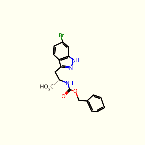 O=C(N[C@@H](Cc1n[nH]c2cc(Br)ccc12)C(=O)O)OCc1ccccc1